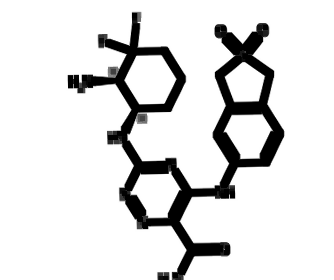 NC(=O)c1nnc(N[C@@H]2CCCC(F)(F)[C@@H]2N)nc1Nc1ccc2c(c1)CS(=O)(=O)C2